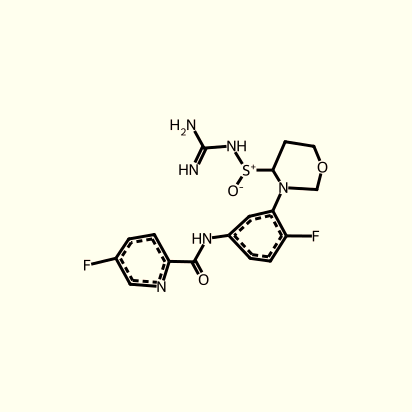 N=C(N)N[S+]([O-])C1CCOCN1c1cc(NC(=O)c2ccc(F)cn2)ccc1F